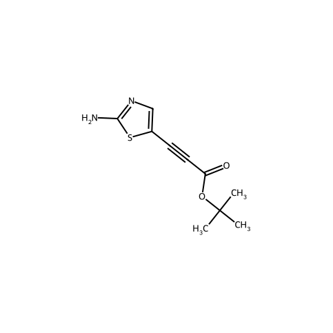 CC(C)(C)OC(=O)C#Cc1cnc(N)s1